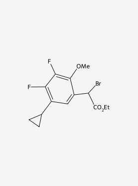 CCOC(=O)C(Br)c1cc(C2CC2)c(F)c(F)c1OC